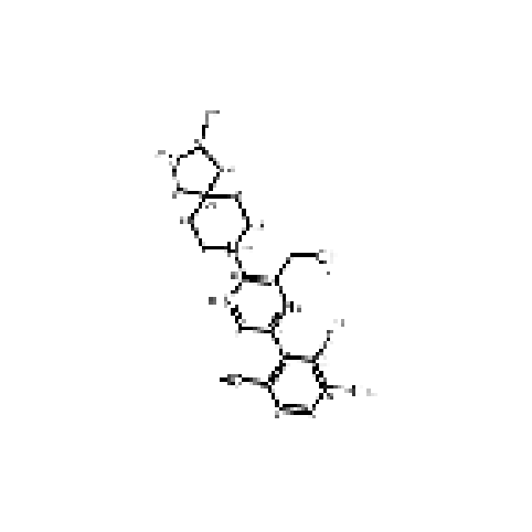 OCc1nc(-c2c(O)ccc(Cl)c2Cl)cnc1N1CCC2(CC1)CO[C@@H](I)C2